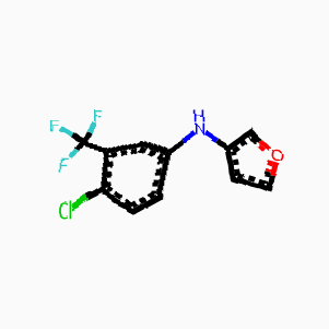 FC(F)(F)c1cc(Nc2[c]occ2)ccc1Cl